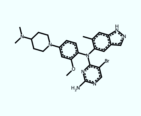 COc1cc(N2CCC(N(C)C)CC2)ccc1N(c1cc2cn[nH]c2cc1C)c1nc(N)ncc1Br